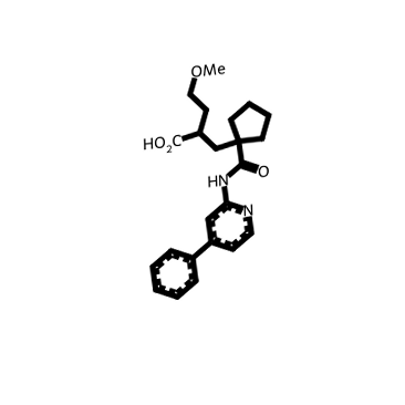 COCCC(CC1(C(=O)Nc2cc(-c3ccccc3)ccn2)CCCC1)C(=O)O